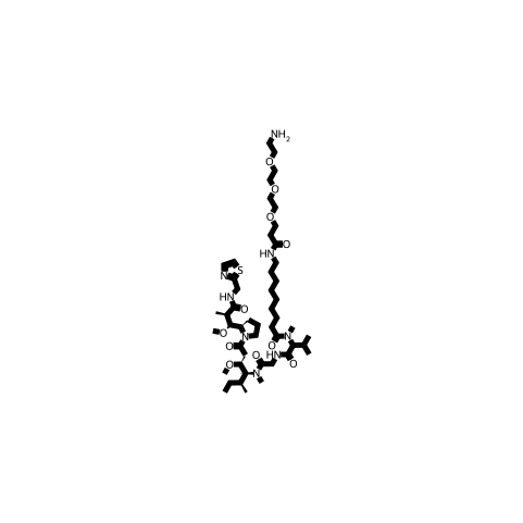 CC[C@H](C)[C@@H]([C@@H](CC(=O)N1CCC[C@H]1[C@H](OC)[C@@H](C)C(=O)NCc1nccs1)OC)N(C)C(=O)CNC(=O)C(C(C)C)N(C)C(=O)CCCCCCCCNC(=O)CCOCCOCCOCCN